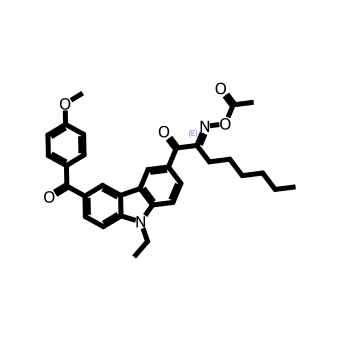 CCCCCC/C(=N\OC(C)=O)C(=O)c1ccc2c(c1)c1cc(C(=O)c3ccc(OC)cc3)ccc1n2CC